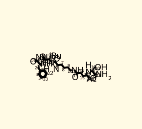 CC[C@H](C)[C@H](NC(=O)C(N)CCCCNC(=O)CCC(N[C@@H](CO)C(N)=O)C(C)=O)C(=O)N[C@@H](Cc1ccccc1)C(N)=O